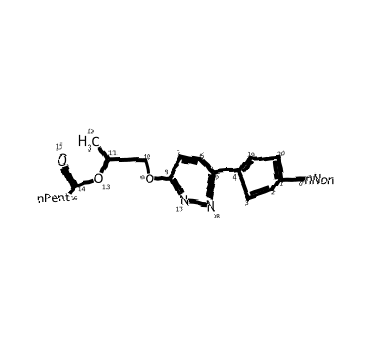 CCCCCCCCCc1ccc(-c2ccc(OCC(C)OC(=O)CCCCC)nn2)cc1